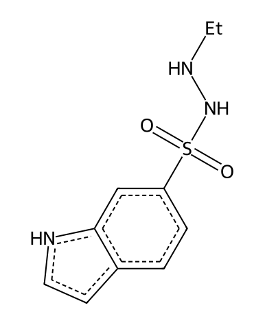 CCNNS(=O)(=O)c1ccc2cc[nH]c2c1